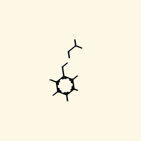 [2H]c1c([2H])c([2H])c(CSCC(NC(C)=O)C(=O)O)c([2H])c1[2H]